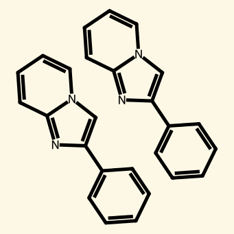 c1ccc(-c2cn3ccccc3n2)cc1.c1ccc(-c2cn3ccccc3n2)cc1